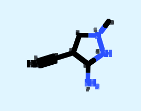 CN1CC(C#[SiH])C(N)N1